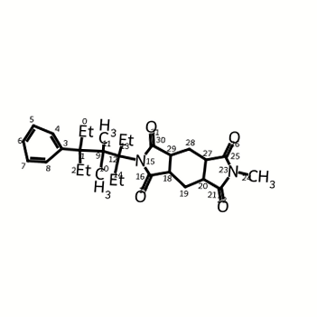 CCC(CC)(c1ccccc1)C(C)(C)C(CC)(CC)N1C(=O)C2CC3C(=O)N(C)C(=O)C3CC2C1=O